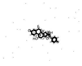 C[C@]12C[C@H](O)[C@@]3(F)[C@@H](C[C@H](F)C4=CC(=O)C=C[C@@]43C)[C@]1(C)C[C@H]1CN(c3ccc(F)cc3)O[C@]12C(=O)O